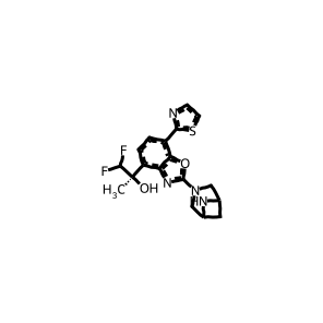 C[C@@](O)(c1ccc(-c2nccs2)c2oc(N3CC4CC(C3)N4)nc12)C(F)F